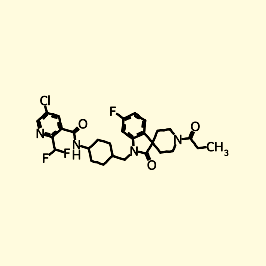 CCC(=O)N1CCC2(CC1)C(=O)N(CC1CCC(NC(=O)c3cc(Cl)cnc3C(F)F)CC1)c1cc(F)ccc12